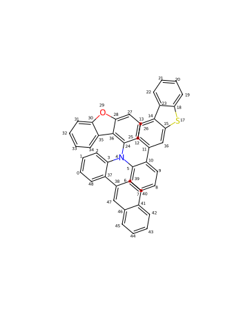 c1ccc(N(c2ccccc2-c2ccc3c(c2)sc2ccccc23)c2cccc3oc4ccccc4c23)c(-c2ccc3ccccc3c2)c1